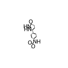 COC(=O)Nc1ccc(C2=CCC(=O)NN2)cc1